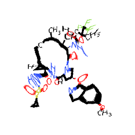 COc1ccc2c(O[C@@H]3C[C@H]4C(=O)N[C@]5(C(=O)NS(=O)(=O)C6CC6)C[C@H]5/C=C\CC[C@@H](C)C[C@@H](C)[C@H](NC(=O)OC(C)(C)C(F)(F)F)C(=O)N4C3)nccc2c1